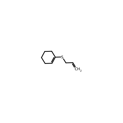 C=CCSC1=CCCCC1